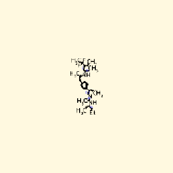 C=C/C(=C\CC)N/C(C)=N/C=C(\C=C)c1ccc(CC(=C)NC(=C/C)/C=C(\C=C)C(C)(F)F)cc1